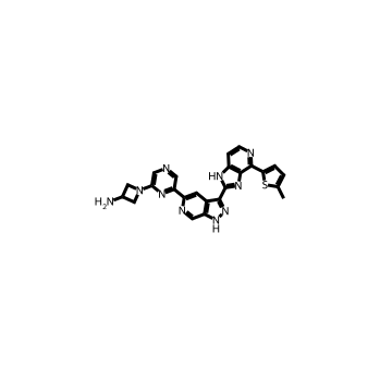 Cc1ccc(-c2nccc3[nH]c(-c4n[nH]c5cnc(-c6cncc(N7CC(N)C7)n6)cc45)nc23)s1